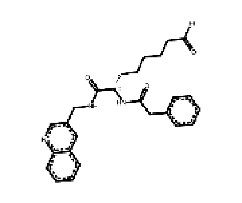 CCC(=O)CCCCC[C@H](NC(=O)Cc1ccccc1)C(=O)NCc1cnc2ccccc2c1